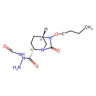 CCCCON1C(=O)N2C[C@@H]1CC[C@H]2C(=O)N(N)NC=O